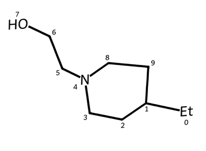 [CH2]CC1CCN(CCO)CC1